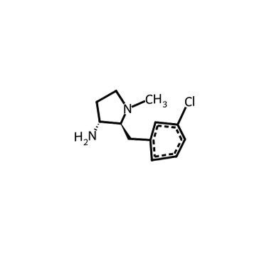 CN1CC[C@@H](N)[C@@H]1Cc1cccc(Cl)c1